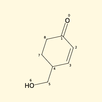 O=C1C=CC(CO)CC1